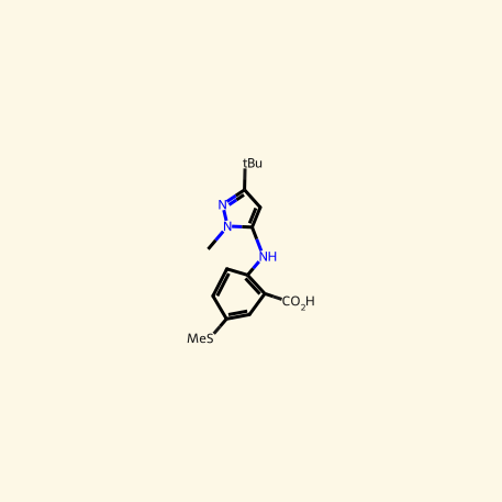 CSc1ccc(Nc2cc(C(C)(C)C)nn2C)c(C(=O)O)c1